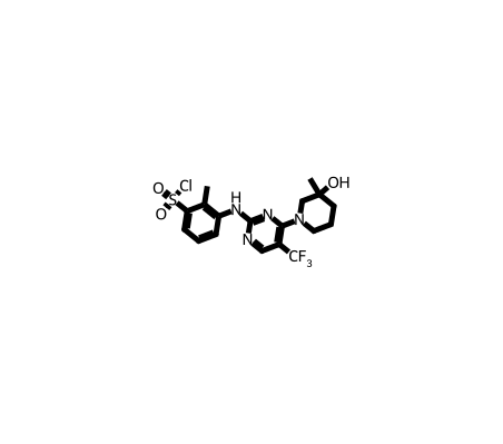 Cc1c(Nc2ncc(C(F)(F)F)c(N3CCCC(C)(O)C3)n2)cccc1S(=O)(=O)Cl